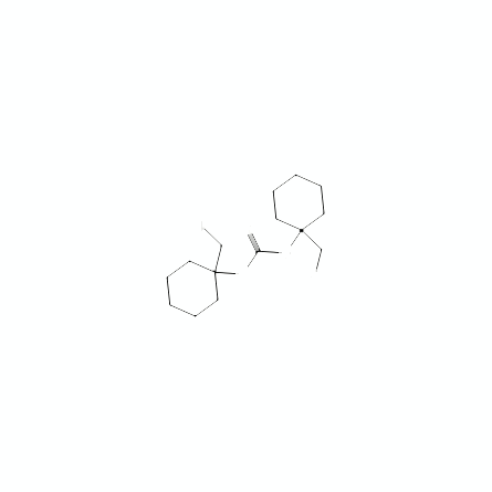 O=C(OC1(CCl)CCCCC1)OC1(CCl)CCCCC1